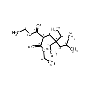 CCOC(=O)C(CC(CC)(CC)CC(C)C)C(=O)OCC